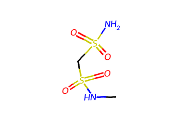 CNS(=O)(=O)CS(N)(=O)=O